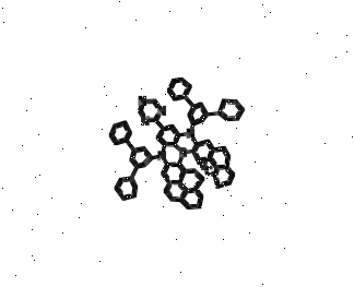 c1ccc(-c2cc(-c3ccccc3)cc(N3c4cc(-c5ncncn5)cc5c4B(c4c3cc3ccc6cccc7ccc4c3c67)c3c(cc4ccc6cccc7ccc3c4c67)N5c3cc(-c4ccccc4)cc(-c4ccccc4)c3)c2)cc1